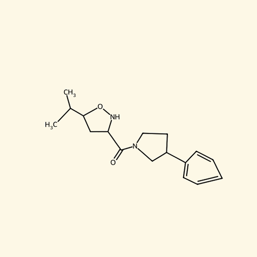 CC(C)C1CC(C(=O)N2CCC(c3ccccc3)C2)NO1